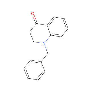 O=C1CCN(Cc2ccccc2)c2ccccc21